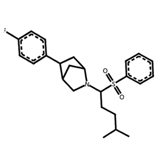 CC(C)CCC(N1CC2CC1CC2c1ccc(F)cc1)S(=O)(=O)c1ccccc1